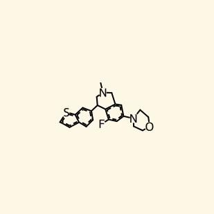 CN1Cc2cc(N3CCOCC3)cc(F)c2C(c2ccc3ccsc3c2)C1